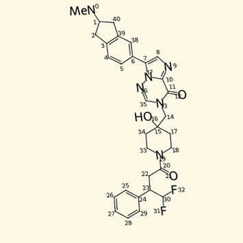 CNC1Cc2ccc(-c3cnc4c(=O)n(CC5(O)CCN(C(=O)CC(c6ccccc6)C(F)F)CC5)cnn34)cc2C1